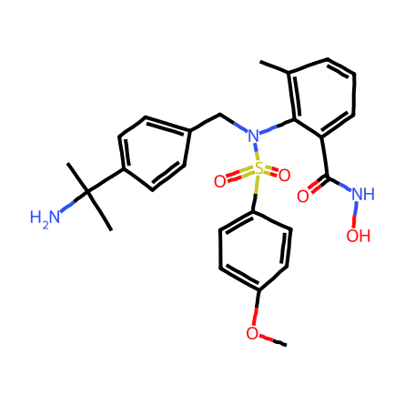 COc1ccc(S(=O)(=O)N(Cc2ccc(C(C)(C)N)cc2)c2c(C)cccc2C(=O)NO)cc1